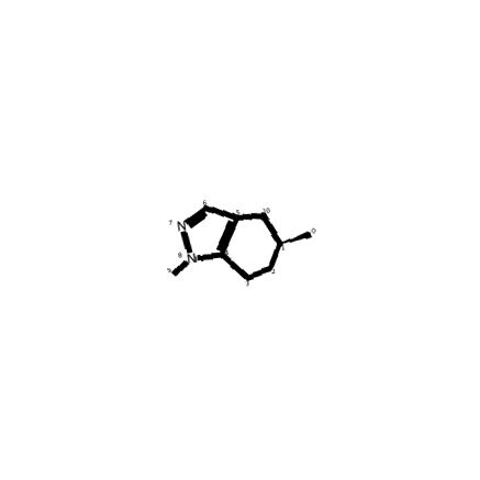 C[C@H]1CCc2c(cnn2C)C1